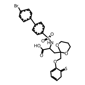 O=C(O)C(CC1(COC2=CC=CCC2=S)OCCCO1)NS(=O)(=O)c1ccc(-c2ccc(Br)cc2)cc1